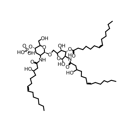 CCCCCC/C=C\CCCCCC(=O)O[C@@H]1C(NC(=O)CC(O)CCC/C=C\CCCCCC)[C@@H](O)OC(CO[C@@H]2OC(CO)[C@@H](OP(=O)(O)O)CC2NC(=O)CC(O)CCC/C=C\CCCCCC)[C@H]1O